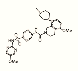 COc1cnc(NS(=O)(=O)c2ccc(NC(=O)N3CCc4c(OC)ccc(N5CCN(C)CC5)c4C3)cc2)nc1